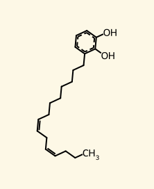 CCC/C=C\C/C=C\CCCCCCCc1cccc(O)c1O